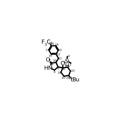 C[SiH](C)OC1(C2CNC(=O)C2Cc2ccc(C(F)(F)F)cc2)CCC(C(C)(C)C)CC1